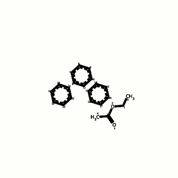 CCOC(C)=O.c1ccccc1.c1ccccc1.c1ccccc1